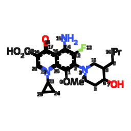 COc1c(N2CCC(O)C(CC(C)C)C2)c(F)c(N)c2c(=O)c(C(=O)O)cn(C3CC3)c12